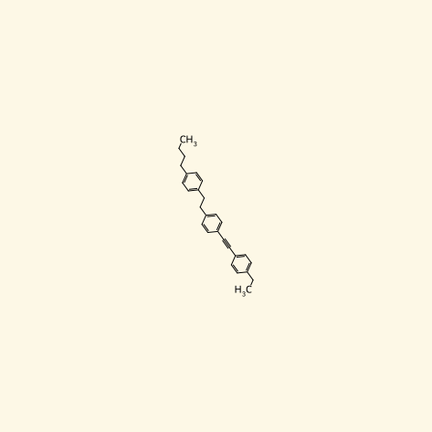 CCCCc1ccc(CCc2ccc(C#Cc3ccc(CC)cc3)cc2)cc1